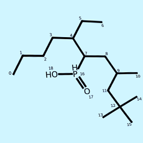 CCCCC(CC)C(CC(C)CC(C)(C)C)[PH](=O)O